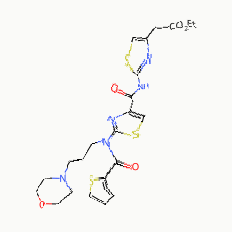 CCOC(=O)Cc1csc(NC(=O)c2csc(N(CCCN3CCOCC3)C(=O)c3cccs3)n2)n1